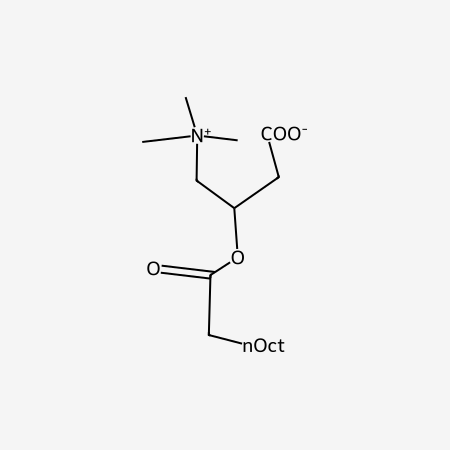 CCCCCCCCCC(=O)OC(CC(=O)[O-])C[N+](C)(C)C